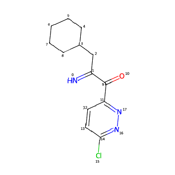 N=C(CC1CCCCC1)C(=O)c1ccc(Cl)nn1